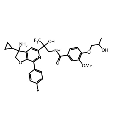 COc1cc(C(=O)NCC(O)(c2cc3c(c(-c4ccc(F)cc4)n2)OCC3(N)C2CC2)C(F)(F)F)ccc1OCC(C)O